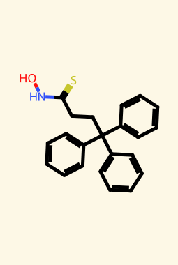 ONC(=S)CCC(c1ccccc1)(c1ccccc1)c1ccccc1